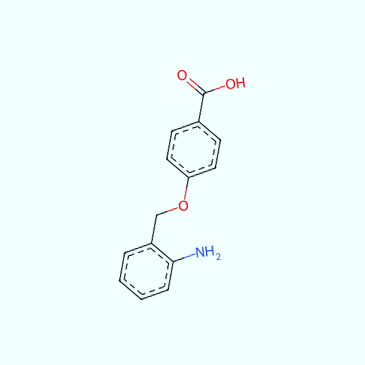 Nc1ccccc1COc1ccc(C(=O)O)cc1